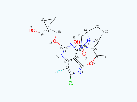 CC1Oc2nc(Cl)c(F)c3nc(OCC4(CO)CC4)nc(c23)N2CC3CCC(C12)N3C(=O)O